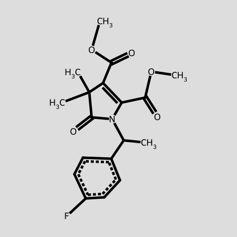 COC(=O)C1=C(C(=O)OC)C(C)(C)C(=O)N1C(C)c1ccc(F)cc1